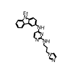 CCn1c2ccccc2c2cc(Nc3ccnc(NCCCn4ccnc4)n3)ccc21